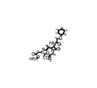 CCCOC(=O)CCSC=C(C)C1C(NC(=O)COc2ccccc2)C(=O)N1CC(=O)OCC(Cl)(Cl)Cl